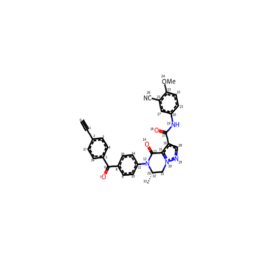 C#Cc1ccc(C(=O)c2ccc(N3C(=O)c4c(C(=O)Nc5ccc(OC)c(C#N)c5)cnn4C[C@@H]3C)cc2)cc1